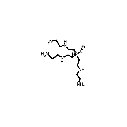 CC(C)O[PH](CCNCCN)(CCNCCN)CCNCCN